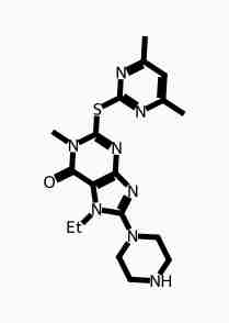 CCn1c(N2CCNCC2)nc2nc(Sc3nc(C)cc(C)n3)n(C)c(=O)c21